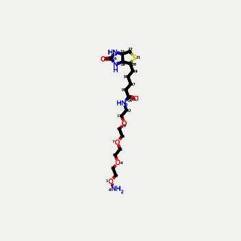 NOCCOCCOCCOCCNC(=O)CCCCC1SCC2NC(=O)NC21